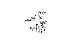 CCCCCCCCOC(=O)CC(C(=O)OCCCCCCCC)S(=O)(=O)O.O=S(=O)([O-])C(F)(F)C(F)(F)C(F)(F)C(F)(F)F.[Na+]